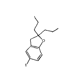 CCCC1(CCC)Cc2cc(F)ccc2O1